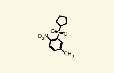 Cc1ccc([N+](=O)[O-])c(S(=O)(=O)C2CCCC2)c1